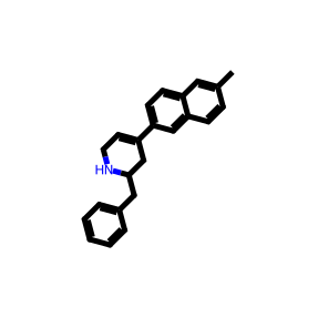 Cc1ccc2cc(C3=CCNC(Cc4ccccc4)C3)ccc2c1